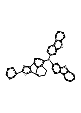 C1=C2c3oc(-c4ccccc4)nc3-c3ccc(N(c4ccc5c(c4)oc4ccccc45)c4ccc5c(c4)sc4ccccc45)c(c32)CC1